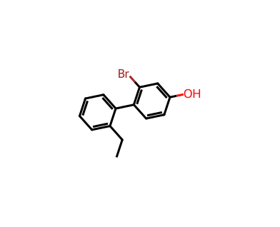 CCc1ccccc1-c1ccc(O)cc1Br